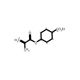 C=C(C)C(=O)OC1CCC(C(=O)OCC)CC1